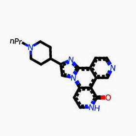 CCCN1CCC(c2cn3c4cc[nH]c(=O)c4c4cnccc4c3n2)CC1